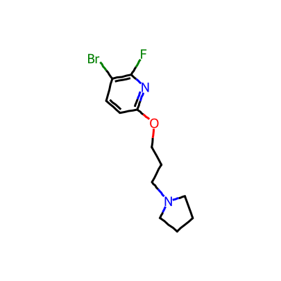 Fc1nc(OCCCN2CCCC2)ccc1Br